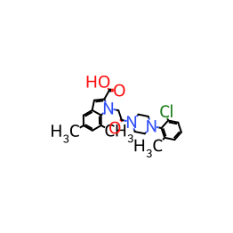 Cc1cc(C)c2c(c1)cc(C(=O)O)n2CC(=O)N1CCN(c2c(C)cccc2Cl)CC1